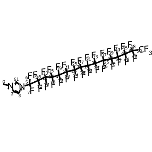 C[n+]1ccn(C(F)(F)C(F)(F)C(F)(F)C(F)(F)C(F)(F)C(F)(F)C(F)(F)C(F)(F)C(F)(F)C(F)(F)C(F)(F)C(F)(F)C(F)(F)C(F)(F)C(F)(F)C(F)(F)F)c1